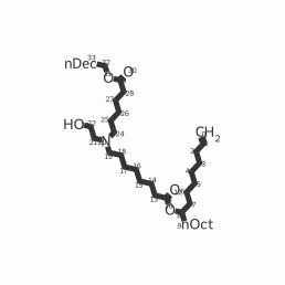 C=CCCCCCCC(CCCCCCCC)OC(=O)CCCCCCCN(CCO)CCCCCC(=O)OCCCCCCCCCCC